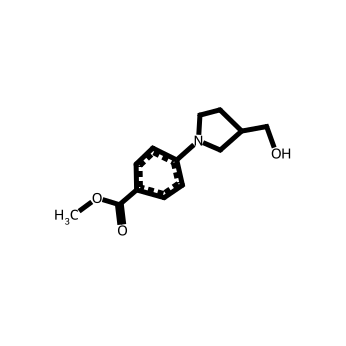 COC(=O)c1ccc(N2CCC(CO)C2)cc1